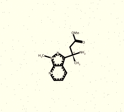 COC(=O)C[C@](C)(N)c1nn(C)c2ncccc12